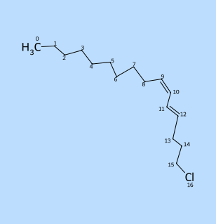 CCCCCCCCC/C=C\C=C\CCCCl